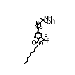 CCCCCCCCS(=O)(=O)c1ccc(-c2nnc(C(C)(N)CO)s2)cc1C(F)(F)F